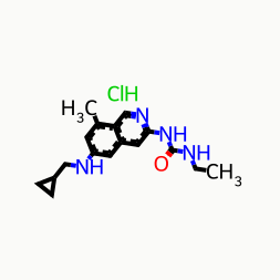 CCNC(=O)Nc1cc2cc(NCC3CC3)cc(C)c2cn1.Cl